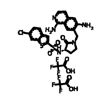 Nc1cc2ccnc(N)c2cc1CN1CC[C@H](NS(=O)(=O)c2cc3ccc(Cl)cc3s2)C1=O.O=C(O)C(F)(F)F.O=C(O)C(F)(F)F